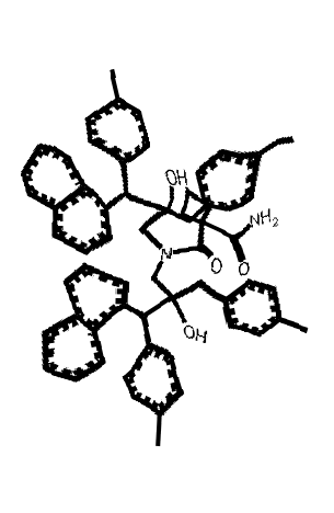 Cc1ccc(CC(O)(CN(CC(O)(Cc2ccc(C)cc2)C(c2ccc(C)cc2)c2cccc3ccccc23)C(=O)C2(C(N)=O)CCC2)C(c2ccc(C)cc2)c2cccc3ccccc23)cc1